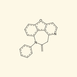 C=C1Cc2nccc3oc4cccc(c4c23)N1c1ccccc1